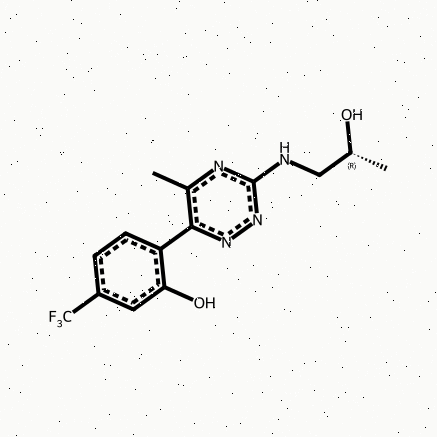 Cc1nc(NC[C@@H](C)O)nnc1-c1ccc(C(F)(F)F)cc1O